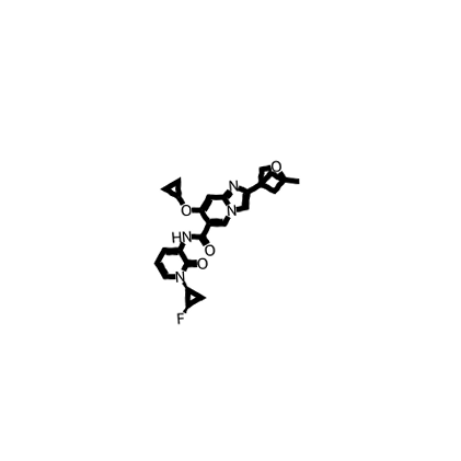 CC12CC(c3cn4cc(C(=O)Nc5cccn([C@H]6C[C@H]6F)c5=O)c(OC5CC5)cc4n3)(CO1)C2